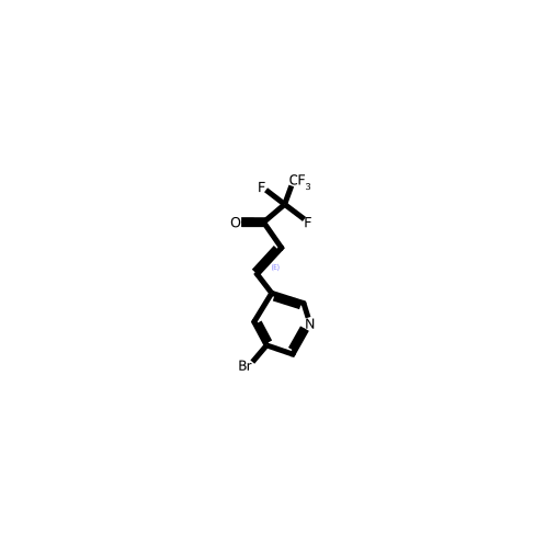 O=C(/C=C/c1cncc(Br)c1)C(F)(F)C(F)(F)F